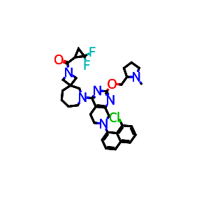 CN1CCCC1COc1nc2c(c(N3CCCCC4(CN(C(=O)C5CC5(F)F)C4)C3)n1)CCN(c1cccc3cccc(Cl)c13)C2